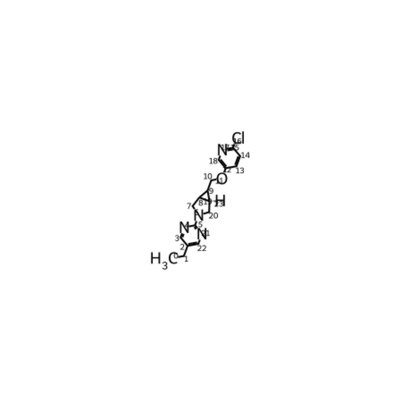 CCc1cnc(N2CC3C(COc4ccc(Cl)nc4)[C@H]3C2)nc1